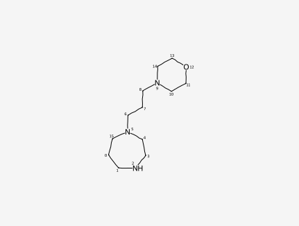 C1CNCCN(CCCN2CCOCC2)C1